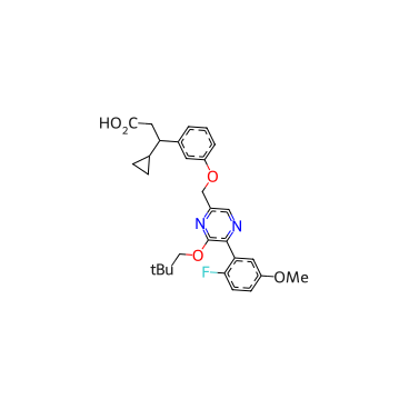 COc1ccc(F)c(-c2ncc(COc3cccc(C(CC(=O)O)C4CC4)c3)nc2OCC(C)(C)C)c1